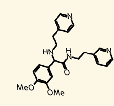 COc1ccc(C(NCCc2ccncc2)C(=O)NCCc2cccnc2)cc1OC